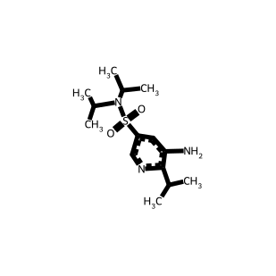 CC(C)c1ncc(S(=O)(=O)N(C(C)C)C(C)C)cc1N